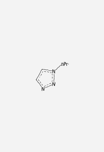 CC[CH]n1ccnn1